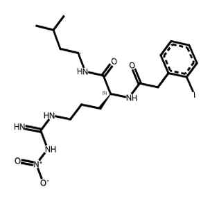 CC(C)C[CH]NC(=O)[C@H](CCCNC(=N)N[N+](=O)[O-])NC(=O)Cc1ccccc1I